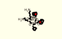 NCCCC[C@H](NC(=O)[C@@H](N)CCCCN)C(=O)N[C@@H](Cc1ccccc1)CN(CC(=O)NCC12CC3CC(CC(C3)C1)C2)C(=O)CC12CC3CC(CC(C3)C1)C2